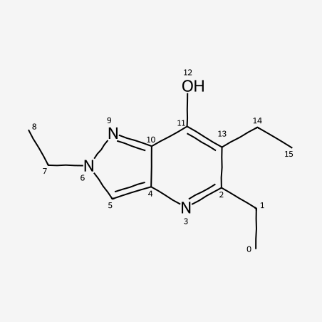 CCc1nc2cn(CC)nc2c(O)c1CC